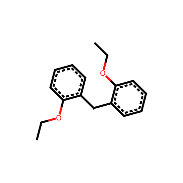 CCOc1ccccc1[CH]c1ccccc1OCC